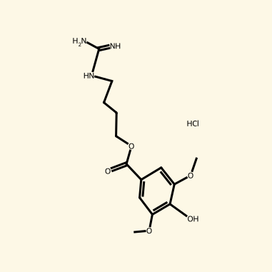 COc1cc(C(=O)OCCCCNC(=N)N)cc(OC)c1O.Cl